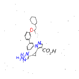 CC(CC1CCCCC1)Oc1cccc(-c2cccc(-n3ncc(C(=O)O)c3C3CC3/C(N)=C/N(C)N)c2)c1